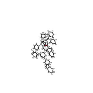 c1cc(-c2ccc3oc4cccc(-c5nc(-c6ccc7c(c6)oc6ccccc67)nc(-c6cccc7sc8ccccc8c67)n5)c4c3c2)cc(-c2cccc3c2C2(c4ccccc4-c4ccccc42)c2ccccc2-3)c1